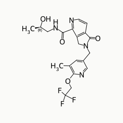 Cc1cc(CN2Cc3c(ccnc3C(=O)NC[C@@H](C)O)C2=O)cnc1OCC(F)(F)F